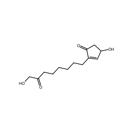 O=C(CO)CCCCCCC1=CC(O)CC1=O